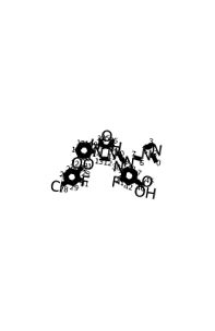 Cc1nccn1CCn1c(CN2CCN(c3cccc4c3O[C@@](C)(c3ccc(Cl)cc3F)O4)[C@H]3COC[C@H]32)nc2c(F)cc(C(=O)O)cc21